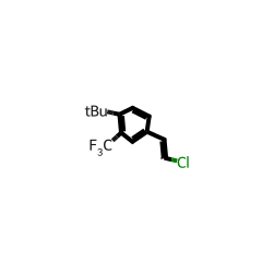 CC(C)(C)c1ccc(C=[C]Cl)cc1C(F)(F)F